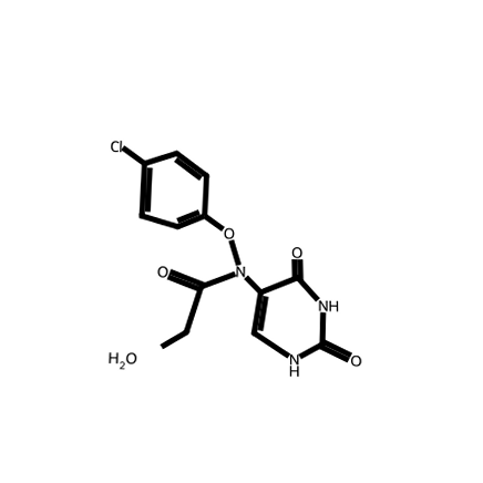 CCC(=O)N(Oc1ccc(Cl)cc1)c1c[nH]c(=O)[nH]c1=O.O